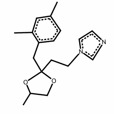 Cc1ccc(CC2(CCn3ccnc3)OCC(C)O2)c(C)c1